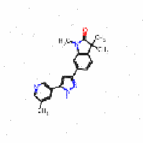 Cc1cncc(-c2cc(-c3ccc4c(c3)N(C)C(=O)C4(C)C)n[nH]2)c1